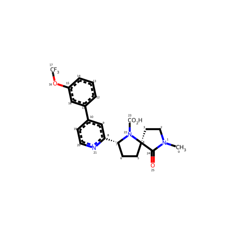 CN1CC[C@@]2(CC[C@H](c3cc(-c4cccc(OC(F)(F)F)c4)ccn3)N2C(=O)O)C1=O